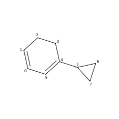 C1=CCCC([C]2CC2)=C1